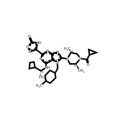 CC1CCC(Cn2c(N3C[C@H](C)N(C(=O)C4CC4)C[C@H]3C)nc3nc(-c4noc(=O)[nH]4)nc(N[C@H](C)C4CCC4)c32)CC1